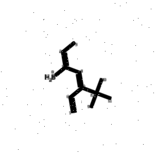 BC(=C/C)/C=C(\C=C)C(C)(C)C